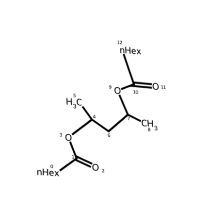 CCCCCCC(=O)OC(C)CC(C)OC(=O)CCCCCC